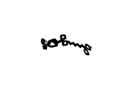 [O]C(=O)CCCCCCCOC(=O)c1ccc([N+](=O)[O-])cc1